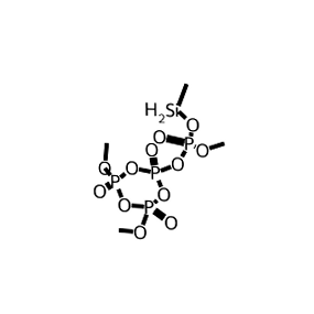 COP(=O)(O[SiH2]C)OP1(=O)OP(=O)(OC)OP(=O)(OC)O1